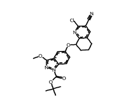 COc1nn(C(=O)OC(C)(C)C)c2ccc(OC3CCCc4cc(C#N)c(Cl)nc43)cc12